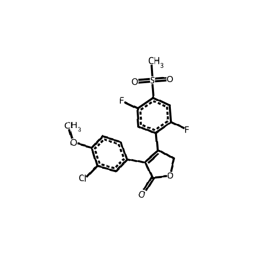 COc1ccc(C2=C(c3cc(F)c(S(C)(=O)=O)cc3F)COC2=O)cc1Cl